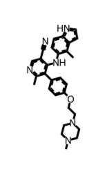 Cc1ncc(C#N)c(Nc2ccc3[nH]ccc3c2C)c1-c1ccc(OCCN2CCN(C)CC2)cc1